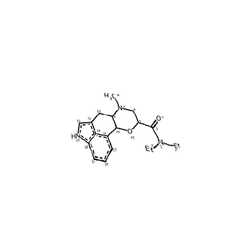 CCN(CC)C(=O)C1CN(C)C2Cc3c[nH]c4cccc(c34)C2O1